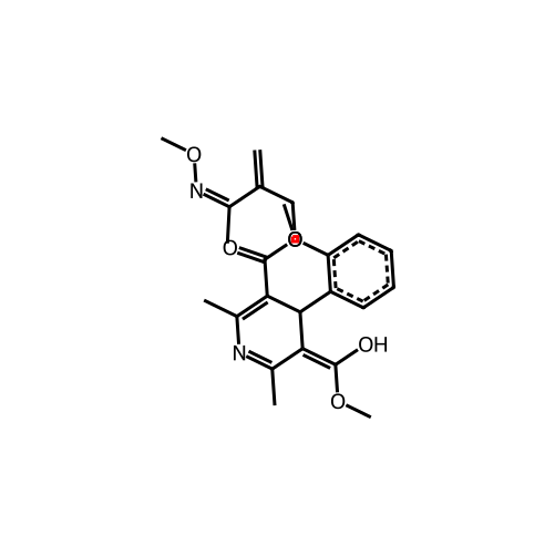 C=C(COc1ccccc1C1C(C(=O)OC)=C(C)N=C(C)/C1=C(/O)OC)/C(C)=N\OC